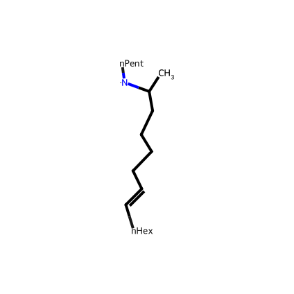 CCCCCCC=CCCCCC(C)[N]CCCCC